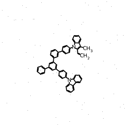 C=Cc1c(C)c2ccccc2n1-c1ccc(-c2cccc(-c3cc(-c4ccccc4)cc(-c4ccc(-n5c6ccccc6c6ccccc65)cc4)c3)c2)cc1